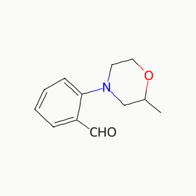 CC1CN(c2ccccc2C=O)CCO1